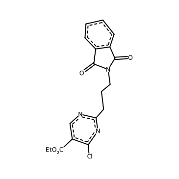 CCOC(=O)c1cnc(CCCN2C(=O)c3ccccc3C2=O)nc1Cl